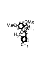 COC(=O)C1(N(C)C(=O)Cc2ccc(C)cc2C)CCN(OC)CC1